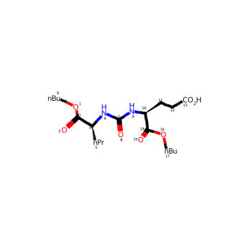 CCCCOC(=O)[C@H](CCC)NC(=O)N[C@@H](CCC(=O)O)C(=O)OCCCC